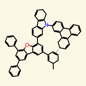 CC1C=C(c2cc(-c3ccc4c5c(n(-c6ccc7c(c6)c6c(c8ccccc87)C=C[C@H](C)C6)c4c3)CCC=C5)c3oc4c(-c5ccccc5)cc(-c5ccccc5)cc4c3c2)C=CC1